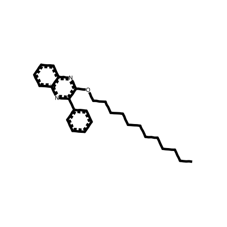 CCCCCCCCCCCCOc1nc2ccccc2nc1-c1ccccc1